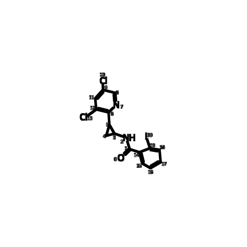 O=C(NC1CC1c1ncc(Cl)cc1Cl)c1ccccc1I